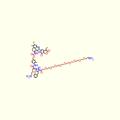 CC[C@H]1C(=O)OCc2c1cc1n(c2=O)Cc2c-1nc1cc(F)c(C)c3c1c2[C@@H](NC(=O)OCc1ccc(NC(=O)[C@H](CCCCN)NC(=O)[C@H](Cc2ccccc2)NC(=O)CCOCCOCCOCCOCCOCCOCCOCCOCCOCCN)c(C)c1)CC3